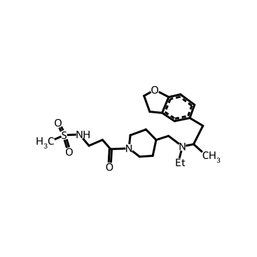 CCN(CC1CCN(C(=O)CCNS(C)(=O)=O)CC1)C(C)Cc1ccc2c(c1)CCO2